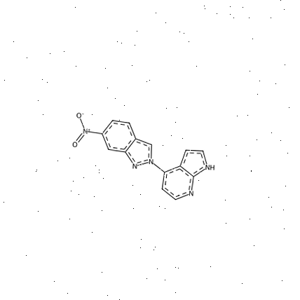 O=[N+]([O-])c1ccc2cn(-c3ccnc4[nH]ccc34)nc2c1